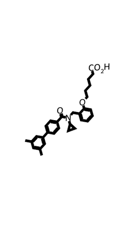 Cc1cc(C)cc(-c2ccc(C(=O)N(Cc3ccccc3OCCCCCC(=O)O)C3CC3)cc2)c1